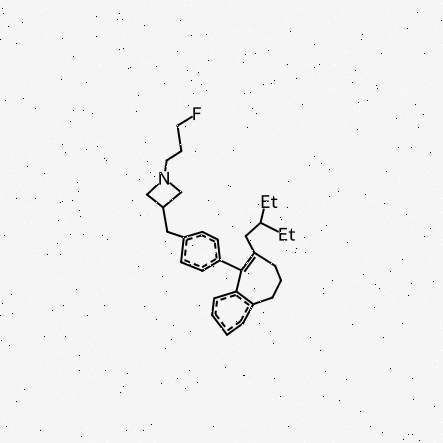 CCC(CC)CC1=C(c2ccc(CC3CN(CCCF)C3)cc2)c2ccccc2CCC1